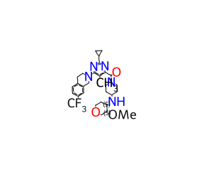 CO[C@@H]1COCC[C@@H]1NC1CCN(C(=O)c2nc(C3CC3)nc(N3CCc4ccc(C(F)(F)F)cc4C3)c2C)CC1